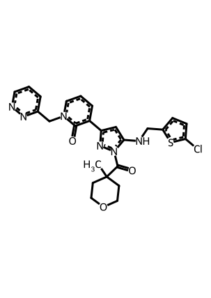 CC1(C(=O)n2nc(-c3cccn(Cc4cccnn4)c3=O)cc2NCc2ccc(Cl)s2)CCOCC1